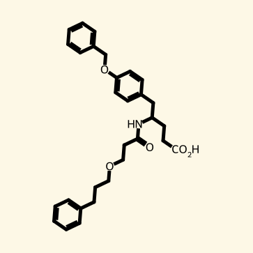 O=C(O)CCC(Cc1ccc(OCc2ccccc2)cc1)NC(=O)CCOCCCc1ccccc1